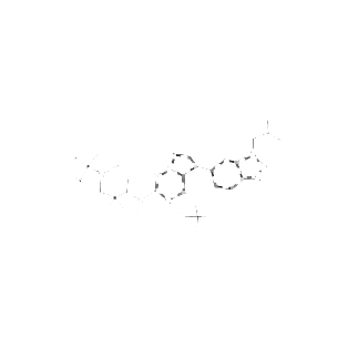 [2H]C([2H])([2H])Oc1nc(N[C@@H]2CCN(C3(C)COC3)CC2(F)F)nn2ccc(-c3ccc4nnn(CC(F)F)c4c3)c12